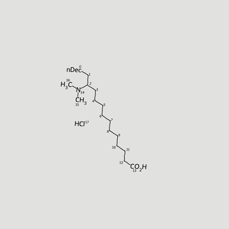 CCCCCCCCCCCC(CCCCCCCCCCC(=O)O)N(C)C.Cl